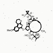 COc1ccc2c(O[C@@H]3C[C@H]4C(=O)N[C@]5(C(=O)NS(=O)(=O)C6(C)CC6)C[C@H]5C=CCC[C@H](C)C[C@@H](C)[C@H](N(C(=O)O)C(C)(C)C(F)F)C(=O)N4C3)nc3c(c2c1)CCCO3